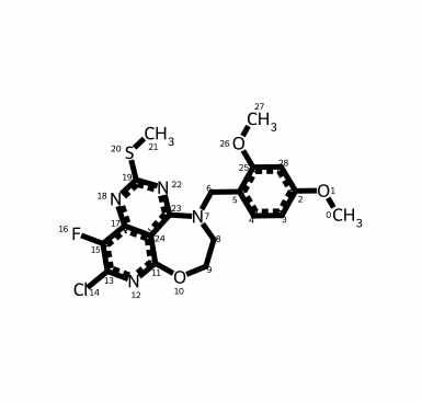 COc1ccc(CN2CCOc3nc(Cl)c(F)c4nc(SC)nc2c34)c(OC)c1